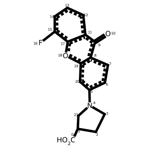 O=C(O)C1CCN(c2ccc3c(=O)c4cccc(F)c4oc3c2)C1